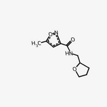 Cc1cc(C(=O)NCC2CCCO2)no1